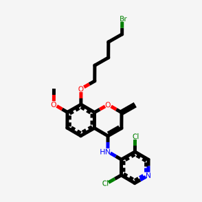 C=C1C=C(Nc2c(Cl)cncc2Cl)c2ccc(OC)c(OCCCCCBr)c2O1